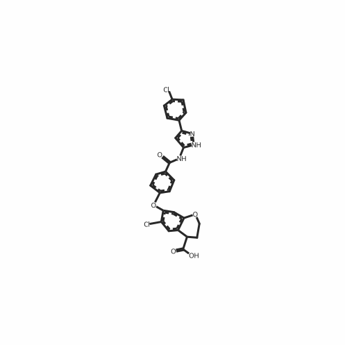 O=C(Nc1cc(-c2ccc(Cl)cc2)n[nH]1)c1ccc(Oc2cc3c(cc2Cl)C(C(=O)O)CCO3)cc1